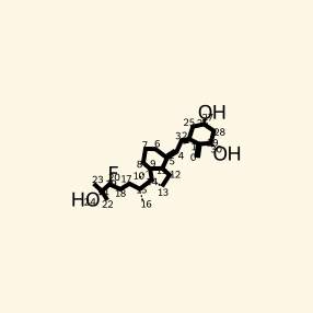 C=C1/C(=C\C=C2CCC[C@@]3(C)C2CC[C@@H]3[C@H](C)CC[C@H](F)C(C)(C)O)C[C@@H](O)C[C@H]1O